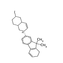 CC1(C)C2=C(C=CCC2)c2ccc([C@H]3C=CC4CC(I)CCC4C3)cc21